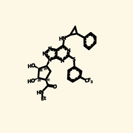 CCNC(=O)[C@@H]1C[C@H](n2nnc3c(NC4CC4c4ccccc4)nc(Sc4cccc(C(F)(F)F)c4)nc32)[C@@H](O)[C@H]1O